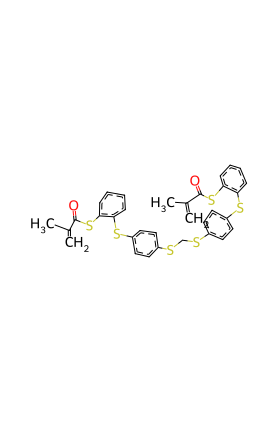 C=C(C)C(=O)Sc1ccccc1Sc1ccc(SCSc2ccc(Sc3ccccc3SC(=O)C(=C)C)cc2)cc1